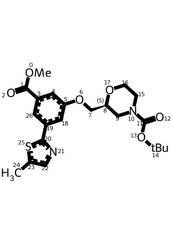 COC(=O)c1cc(OC[C@@H]2CN(C(=O)OC(C)(C)C)CCO2)cc(-c2ncc(C)s2)c1